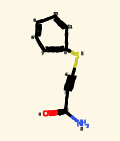 NC(=O)C#CSc1ccccc1